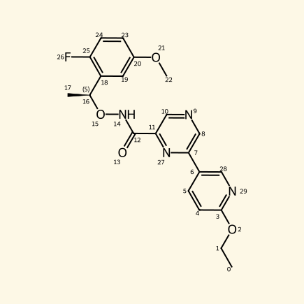 CCOc1ccc(-c2cncc(C(=O)NO[C@@H](C)c3cc(OC)ccc3F)n2)cn1